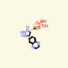 C1CNNN1.FC(F)F.O=P(O)(O)O.c1ccc2nccnc2c1